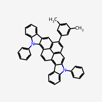 Cc1cc(C)cc(-c2cc3cc4c(c5ccc6c(c2cc2c7ccccc7n(-c7ccccc7)c26)c35)c2ccccc2n4-c2ccccc2)c1